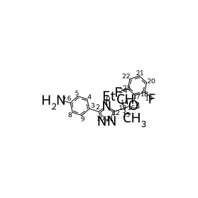 CCn1c(-c2ccc(N)cc2)nnc1C(C)(C)Oc1c(F)cccc1F